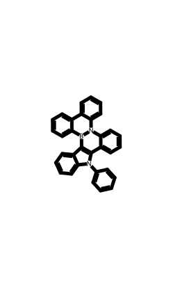 c1ccc(-n2c3c(c4ccccc42)B2c4ccccc4-c4ccccc4N2c2ccccc2-3)cc1